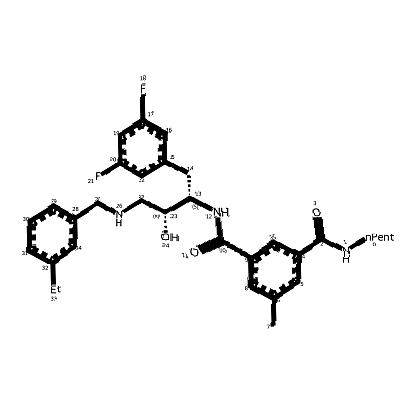 CCCCCNC(=O)c1cc(C)cc(C(=O)N[C@@H](Cc2cc(F)cc(F)c2)[C@H](O)CNCc2cccc(CC)c2)c1